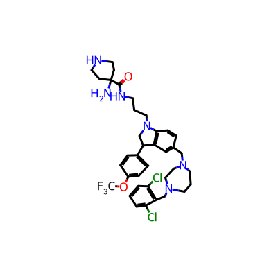 NC1(C(=O)NCCCN2CC(c3ccc(OC(F)(F)F)cc3)c3cc(CN4CCCN(Cc5c(Cl)cccc5Cl)CC4)ccc32)CCNCC1